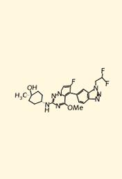 COc1nc(N[C@H]2CC[C@](C)(O)CC2)nn2cc(F)c(-c3ccc4nnn(CC(F)F)c4c3)c12